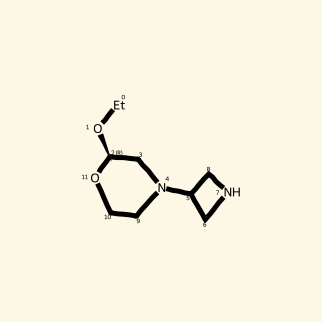 CCO[C@H]1CN(C2CNC2)CCO1